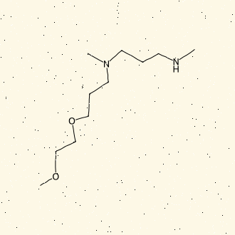 CNCCCN(C)CCCOCCOC